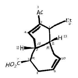 CCC1C(C(C)=O)=C[C@H]2[C@H](C(=O)O)CC=C[C@@H]12